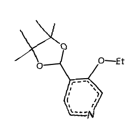 CCOc1cnccc1C1OC(C)(C)C(C)(C)O1